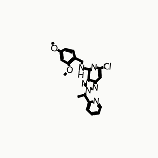 COc1ccc(CNc2nc(Cl)cc3nn(C(C)c4ccccn4)nc23)c(OC)c1